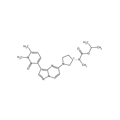 Cc1ccc(-c2cnn3ccc(N4CC[C@H](N(C)C(=O)OC(C)C)C4)nc23)c(=O)n1C